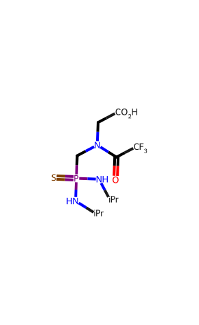 CC(C)NP(=S)(CN(CC(=O)O)C(=O)C(F)(F)F)NC(C)C